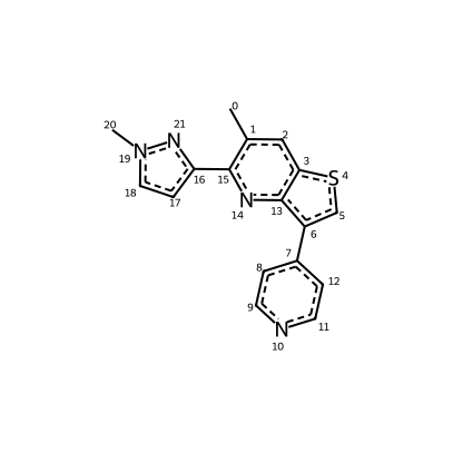 Cc1cc2scc(-c3ccncc3)c2nc1-c1ccn(C)n1